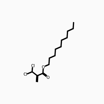 C=C(C(=O)OCCCCCCCCCC)C(Cl)Cl